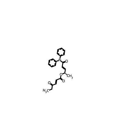 CCC(=O)/C=C/C(=O)O[C@H](C)/C=C/C(=O)N(c1ccccc1)c1ccccc1